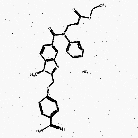 CCOC(=O)CCN(C(=O)c1ccc2c(c1)nc(CSc1ccc(C(=N)N)cc1)n2C)c1ccccc1.Cl